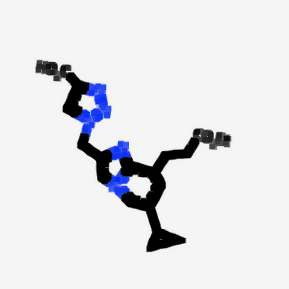 CCOC(=O)CCc1cc(C2CC2)cn2cc(Cn3cc(C(=O)O)nn3)nc12